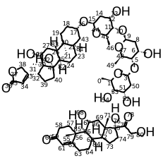 C[C@H]1O[C@@H](O[C@H]2[C@@H](O)C[C@H](O[C@H]3[C@@H](O)C[C@H](O[C@H]4CC[C@@]5(C)[C@H](CC[C@@H]6[C@@H]5C[C@@H](O)[C@]5(C)[C@@H](C7=CC(=O)OC7)CC[C@]65O)C4)O[C@@H]3C)O[C@@H]2C)C[C@H](O)[C@@H]1O.C[C@]12CCC(=O)C=C1CC[C@@H]1[C@@H]2[C@@H](O)C[C@@]2(C)[C@H]1CC[C@]2(O)C(=O)CO